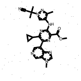 COC(=O)c1nc(-c2cncc3c2ncn3C)c(C2CC2)nc1Nc1cn(C(C)(C)C#N)nc1C